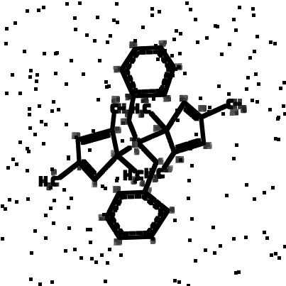 CC1=C[C](C)([Ti]([CH2]c2ccccc2)([CH2]c2ccccc2)[C]2(C)C=C(C)C=C2C)C(C)=C1